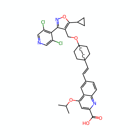 CC(C)Oc1cc(C(=O)O)nc2ccc(/C=C/C34CCC(OCc5c(-c6c(Cl)cncc6Cl)noc5C5CC5)(CC3)CC4)cc12